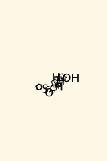 CC1(O)CC[C@H]2[C@@H]3CCC4=C(CSc5ccccc5)C(=O)CC[C@]4(C)[C@@H]3CC[C@@]21C